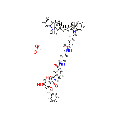 CN1/C(=C/C=C/C=C/C2=[N+](CCCCCC(=O)NCCCCCNC(=O)c3ccc4c(c3)CN(C(=O)c3c(O)cc(O)cc3OCc3ccccc3)C4)c3ccccc3C2(C)C)C(C)(C)c2ccccc21.O=C[O-]